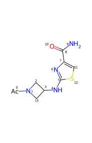 CC(=O)N1CC(Nc2nc(C(N)=O)cs2)C1